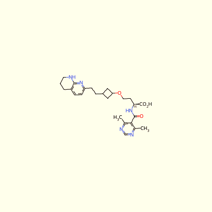 Cc1ncnc(C)c1C(=O)N[C@@H](CCOC1CC(CCc2ccc3c(n2)NCCC3)C1)C(=O)O